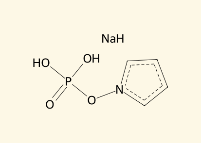 O=P(O)(O)On1cccc1.[NaH]